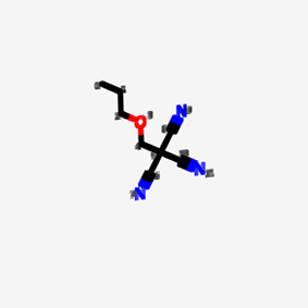 CCCOCC(C#N)(C#N)C#N